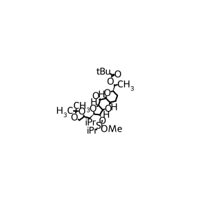 CO[Si](O[C@@H]1[C@@H]2O[C@H]3CC[C@H](C(C)OC(=O)C(C)(C)C)O[C@@H]3C(=O)[C@@H]2O[C@@H]1CC1COC(C)(C)O1)(C(C)C)C(C)C